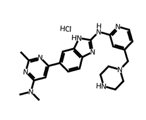 Cc1nc(-c2ccc3nc(Nc4cc(CN5CCNCC5)ccn4)[nH]c3c2)cc(N(C)C)n1.Cl